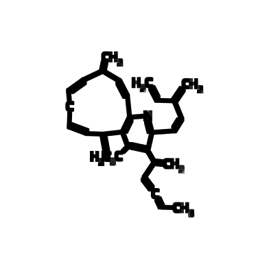 C=CC(=C)/C=C\c1nc2c(c(C)c1C(=C)C=C=CC)C(=C)C=CC/C=C\C(=C)/C=C\2